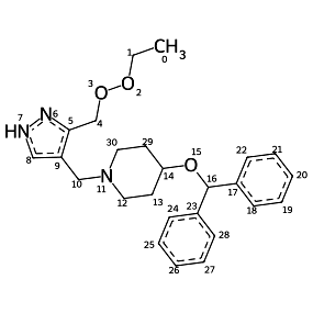 CCOOCc1n[nH]cc1CN1CCC(OC(c2ccccc2)c2ccccc2)CC1